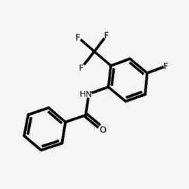 O=C(Nc1ccc(F)cc1C(F)(F)F)c1ccccc1